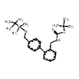 CC(C)(C)OC(=O)NCc1ccccc1-c1ccc(CO[Si](C)(C)C(C)(C)C)cc1